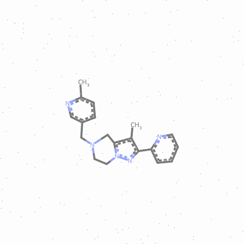 Cc1ccc(CN2CCn3nc(-c4ccccn4)c(C)c3C2)cn1